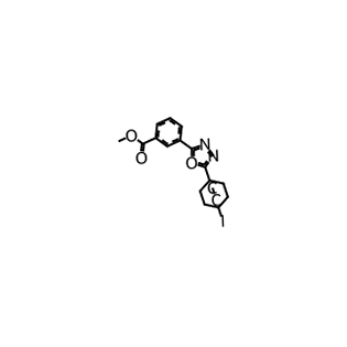 COC(=O)c1cccc(-c2nnc(C34CCC(I)(CC3)CC4)o2)c1